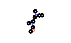 c1ccc(-n2c3ccc(-c4ccc5c(c4)c4ccccc4n5-c4ccc5oc6ccccc6c5c4)cc3c3cc4ccccc4cc32)cc1